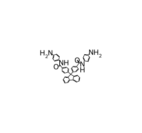 Nc1ccc(NC(=O)c2ccc(C3(c4ccc(C(=O)Nc5ccc(N)cc5)cc4)c4ccccc4-c4ccccc43)cc2)cc1